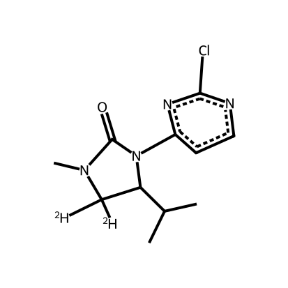 [2H]C1([2H])C(C(C)C)N(c2ccnc(Cl)n2)C(=O)N1C